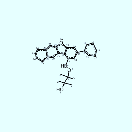 CC(C)(O)C(C)(C)OBc1cc(-c2ccccc2)cc2oc3cc4ccccc4cc3c12